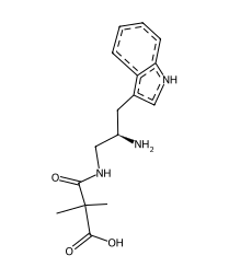 CC(C)(C(=O)O)C(=O)NC[C@H](N)Cc1c[nH]c2ccccc12